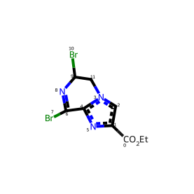 CCOC(=O)c1cn2c(n1)C(Br)=NC(Br)C2